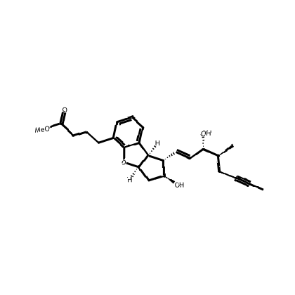 CC#CC[C@H](C)[C@@H](O)/C=C/[C@H]1[C@@H]2c3cccc(CCCC(=O)OC)c3O[C@@H]2C[C@@H]1O